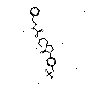 O=C(NCCc1ccccc1)O[C@H]1CC[C@@]2(CCN(c3ccc(OC(F)(F)F)cc3)C2=O)CC1